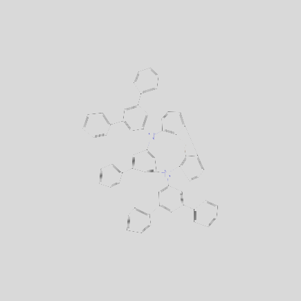 c1ccc(-c2cc(-c3ccccc3)cc(N3c4cc(-c5ccccc5)cc(c4)N(c4cc(-c5ccccc5)cc(-c5ccccc5)c4)c4cccc5c4sc4c3cccc45)c2)cc1